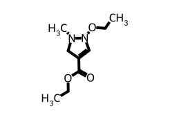 CCOC(=O)C1=CN(OCC)N(C)C1